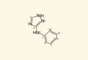 c1ccc(Nc2nc[nH]n2)cc1